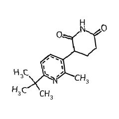 Cc1nc(C(C)(C)C)ccc1C1CCC(=O)NC1=O